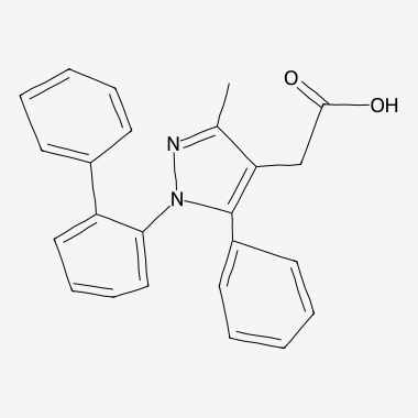 Cc1nn(-c2ccccc2-c2ccccc2)c(-c2ccccc2)c1CC(=O)O